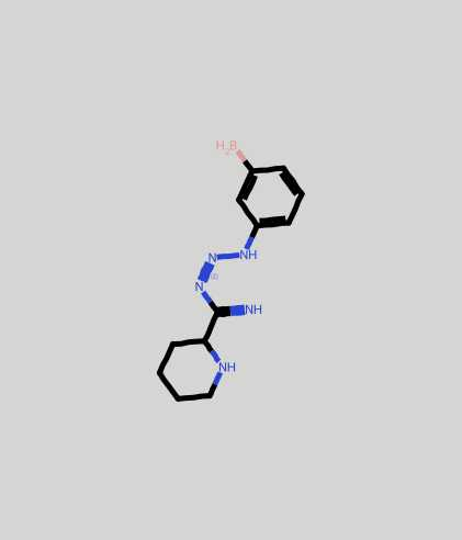 Bc1cccc(N/N=N\C(=N)C2CCCCN2)c1